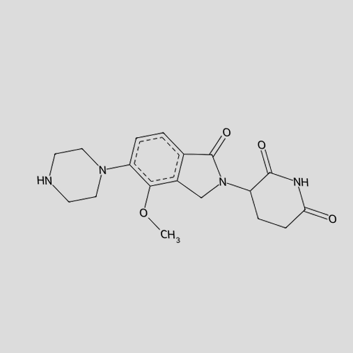 COc1c(N2CCNCC2)ccc2c1CN(C1CCC(=O)NC1=O)C2=O